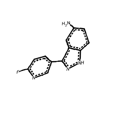 Nc1ccc2[nH]nc(-c3ccc(F)nc3)c2c1